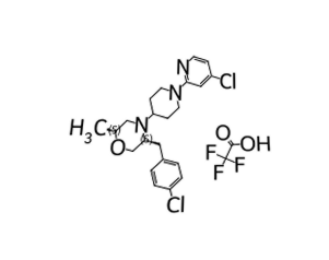 C[C@H]1CN(C2CCN(c3cc(Cl)ccn3)CC2)[C@@H](Cc2ccc(Cl)cc2)CO1.O=C(O)C(F)(F)F